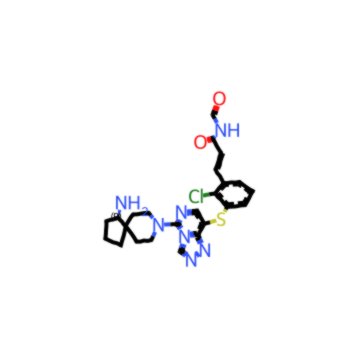 N[C@@H]1CCCC12CCN(c1ncc(Sc3cccc(C=CC(=O)NC=O)c3Cl)c3nncn13)CC2